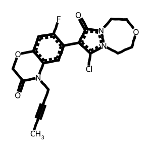 CC#CCN1C(=O)COc2cc(F)c(-c3c(Cl)n4n(c3=O)CCOCC4)cc21